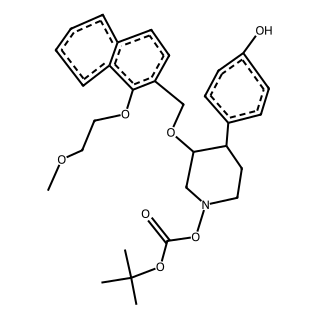 COCCOc1c(COC2CN(OC(=O)OC(C)(C)C)CCC2c2ccc(O)cc2)ccc2ccccc12